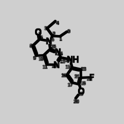 CCC(CC)n1c(=O)ccc2cnc(Nc3ccc(OC)c(F)c3)nc21